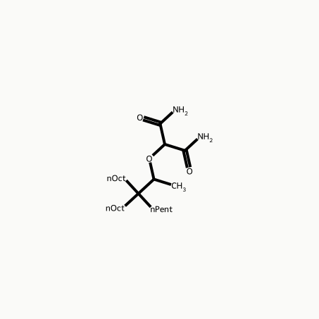 CCCCCCCCC(CCCCC)(CCCCCCCC)C(C)OC(C(N)=O)C(N)=O